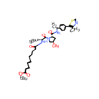 Cc1ncsc1-c1ccc([C@H](C)NC(=O)[C@@H]2C[C@@H](O)CN2C(=O)[C@@H](NC(=O)CCCCCCCCC(=O)OC(C)(C)C)C(C)(C)C)cc1